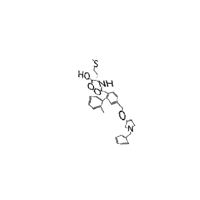 CSCC[C@H](NC(=O)c1ccc(COC2CCN(Cc3ccccc3)C2)cc1-c1ccccc1C)C(=O)O